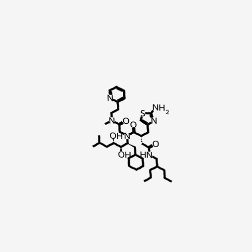 CCCC(CCC)CNC(=O)C[C@@H](Cc1csc(N)n1)C(=O)N(CC(=O)N(C)CCc1ccccn1)[C@@H](CC1CCCCC1)[C@@H](O)[C@@H](O)CC(C)C